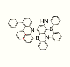 c1ccc(-c2cccc(N3c4ccccc4B4c5ccccc5N5c6ccccc6B6c7ccccc7Nc7cc3c4c5c76)c2-c2ccccc2)cc1